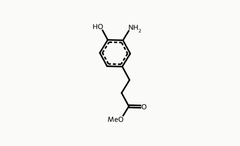 COC(=O)CCc1ccc(O)c(N)c1